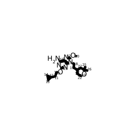 COc1nc2c(N)nc(OCCC3CC3)nc2n1CCC1CCOC(C)(C)C1